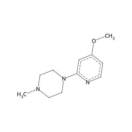 COc1ccnc(N2CCN(C)CC2)c1